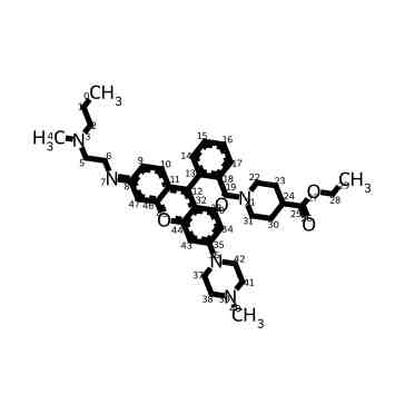 CCCN(C)CC/N=c1\ccc2c(-c3ccccc3C(=O)N3CCC(C(=O)OCC)CC3)c3ccc(N4CCN(C)CC4)cc3oc-2c1